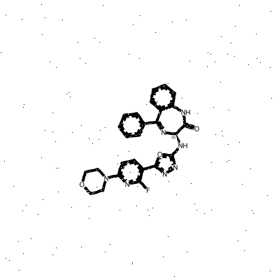 O=C1Nc2ccccc2C(c2ccccc2)=N[C@@H]1Nc1nnc(-c2ccc(N3CCOCC3)nc2F)o1